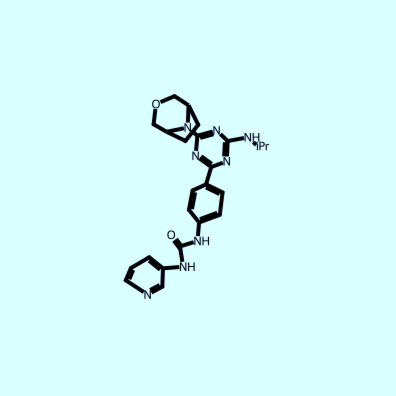 CC(C)Nc1nc(-c2ccc(NC(=O)Nc3cccnc3)cc2)nc(N2C3CCC2COC3)n1